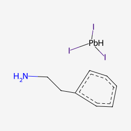 NCCc1ccccc1.[I][PbH]([I])[I]